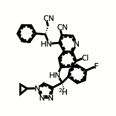 [2H][C@](Nc1cc(Cl)c2ncc(C#N)c(N[C@@H](CC#N)c3ccccc3)c2c1)(c1ccc(F)cc1)c1cn(C2CC2)nn1